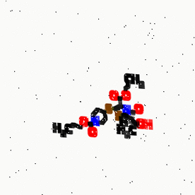 C=CCOC(=O)C1=C(SC2CCN(C(=O)OCC=C)CC2)S[C@@H]2[C@@H]([C@@H](C)O)C(=O)N12